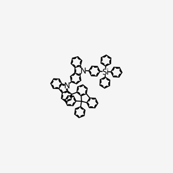 c1ccc(C2(c3ccccc3)c3ccccc3-c3cccc(-c4cccc5c6ccccc6n(-c6ccc7c(c6)c6ccccc6n7-c6ccc([Si](c7ccccc7)(c7ccccc7)c7ccccc7)cc6)c45)c32)cc1